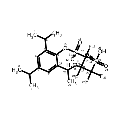 CC(C)c1cc(C(C)C)c(OS(=O)(=O)C(F)(F)C(C)(F)C(F)(F)S(=O)(=O)O)c(C(C)C)c1